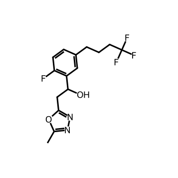 Cc1nnc(CC(O)c2cc(CCCC(F)(F)F)ccc2F)o1